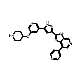 c1cc(-c2cncc3[nH]c(-c4cc(-c5cncc(OC6CCNCC6)c5)[nH]n4)nc23)ccn1